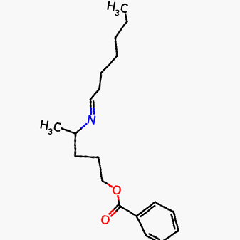 CCCCCCC=NC(C)CCCOC(=O)c1ccccc1